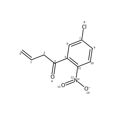 C=CCC(=O)c1cc(Cl)ccc1[N+](=O)[O-]